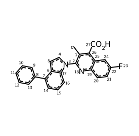 Cc1c(-n2ccc3c(-c4ccccc4)cccc32)nc2ccc(F)cc2c1C(=O)O